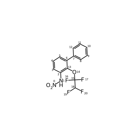 O=[N+]([O-])Nc1cccc(-c2ccccc2)c1OC(F)(F)C(F)F